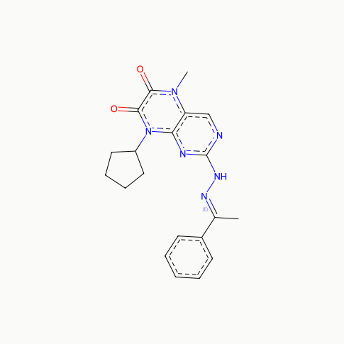 C/C(=N\Nc1ncc2c(n1)n(C1CCCC1)c(=O)c(=O)n2C)c1ccccc1